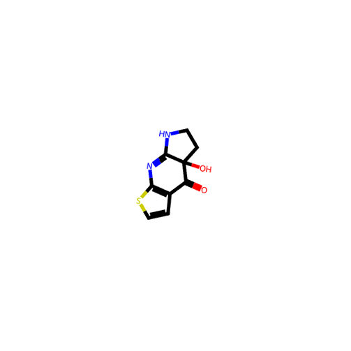 O=C1c2ccsc2N=C2NCCC12O